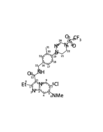 CCc1nc2cc(NC)c(Cl)cn2c1C(=O)NCc1ccc(N2CCN(S(=O)(=O)C(F)(F)F)C=N2)c(C)c1